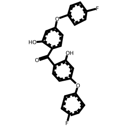 O=C(c1ccc(Oc2ccc(F)cc2)cc1O)c1ccc(Oc2ccc(F)cc2)cc1O